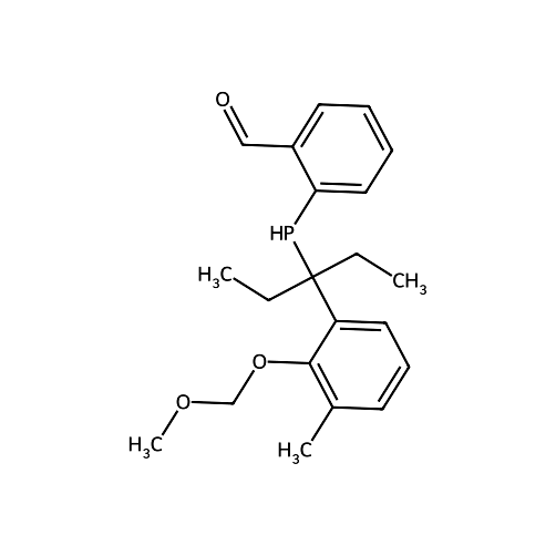 CCC(CC)(Pc1ccccc1C=O)c1cccc(C)c1OCOC